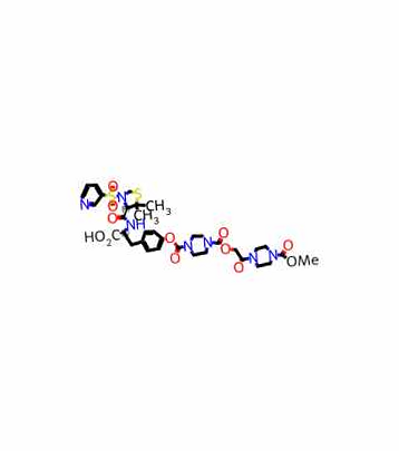 COC(=O)N1CCN(C(=O)COC(=O)N2CCN(C(=O)Oc3ccc(C[C@H](NC(=O)[C@H]4N(S(=O)(=O)c5cccnc5)CSC4(C)C)C(=O)O)cc3)CC2)CC1